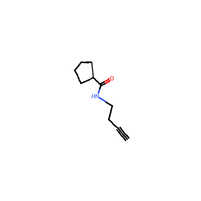 C#CCCNC(=O)C1CCCC1